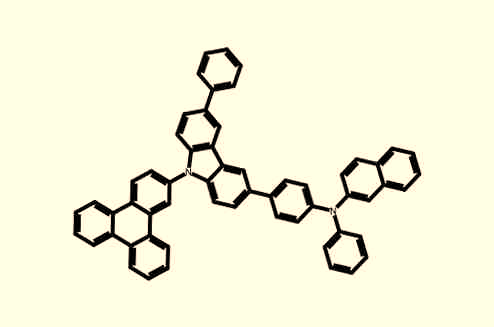 c1ccc(-c2ccc3c(c2)c2cc(-c4ccc(N(c5ccccc5)c5ccc6ccccc6c5)cc4)ccc2n3-c2ccc3c4ccccc4c4ccccc4c3c2)cc1